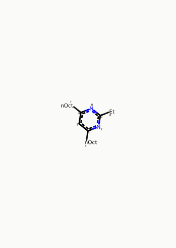 [CH2]Cc1nc(CCCCCCCC)cc(CCCCCCCC)n1